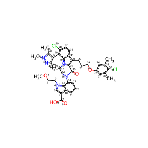 COCCn1cc(C(=O)O)c2cccc(N3C[C@@H](C)n4c(c(CCCOc5cc(C)c(Cl)c(C)c5)c5ccc(Cl)c(-c6c(C)nn(C)c6C)c54)C3=O)c21